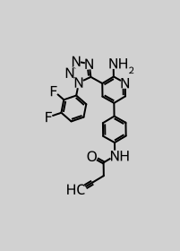 C#CCC(=O)Nc1ccc(-c2cnc(N)c(-c3nnnn3-c3cccc(F)c3F)c2)cc1